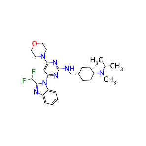 CC(C)N(C)[C@H]1CC[C@H](CNc2nc(N3CCOCC3)cc(-n3c(C(F)F)nc4ccccc43)n2)CC1